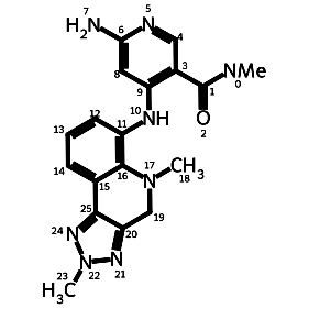 CNC(=O)c1cnc(N)cc1Nc1cccc2c1N(C)Cc1nn(C)nc1-2